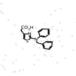 O=C(O)Cc1csc(N(Cc2ccccc2)c2ccccc2)n1